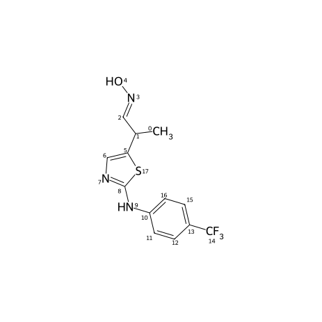 CC(C=NO)c1cnc(Nc2ccc(C(F)(F)F)cc2)s1